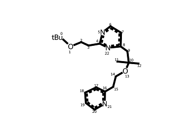 CC(C)(C)OCCc1nccc(CC(C)(C)OCCc2ccccn2)n1